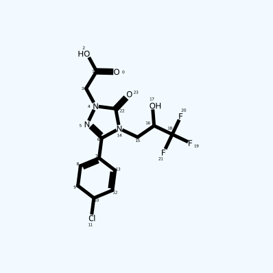 O=C(O)Cn1nc(C2=CCC(Cl)C=C2)n(CC(O)C(F)(F)F)c1=O